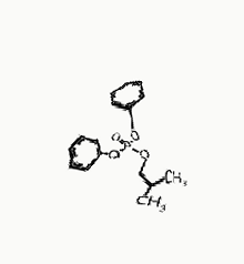 CC(C)COP(=O)(Oc1ccccc1)Oc1ccccc1